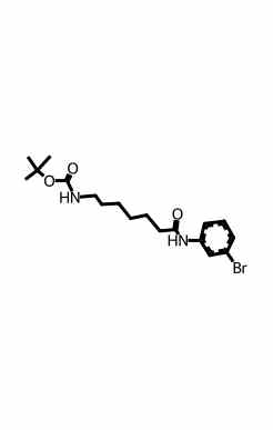 CC(C)(C)OC(=O)NCCCCCCC(=O)Nc1cccc(Br)c1